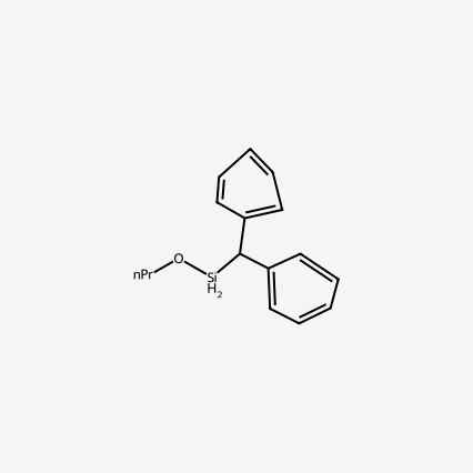 CCCO[SiH2]C(c1ccccc1)c1ccccc1